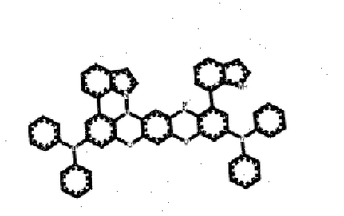 B1c2cc3c(cc2Oc2cc(N(c4ccccc4)c4ccccc4)cc(-c4cccc5cc[nH]c45)c21)Oc1cc(N(c2ccccc2)c2ccccc2)cc2c1B3n1ccc3cccc-2c31